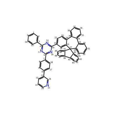 c1ccc(-c2nc(-c3ccc(-c4cccnc4)cc3)nc(-c3ccc4c(c3)C3(c5ccccc5-c5ccccc5-4)c4ccccc4-c4ccccc43)n2)cc1